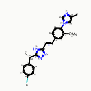 COc1cc(/C=C/c2nnc([C@@H](C)c3ccc(F)cc3)[nH]2)ccc1-n1cnc(C)c1